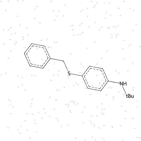 CC(C)(C)Nc1ccc(SCc2ccccc2)cc1